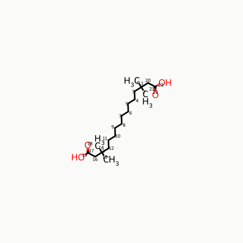 CC(C)(CCCCCCCCCCC(C)(C)CC(=O)O)CC(=O)O